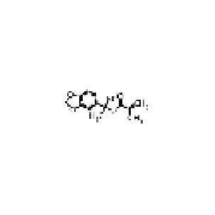 C=C(C)C(=O)OC(C)(CC)c1ccc2c(c1)OCO2